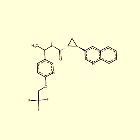 CC(NC(=O)[C@@H]1C[C@H]1c1cnc2ccccc2c1)c1ccc(OCC(F)(F)F)nc1